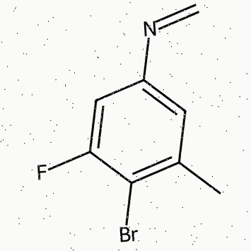 C=Nc1cc(C)c(Br)c(F)c1